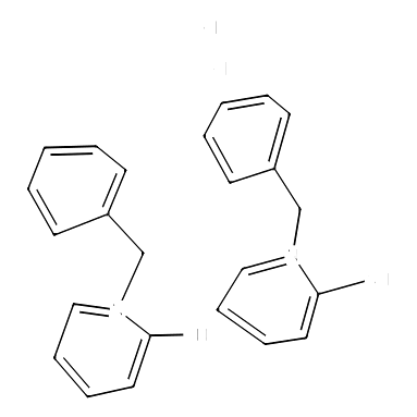 Sc1cccc[n+]1Cc1ccccc1.Sc1cccc[n+]1Cc1ccccc1.[Cl-].[Cl-]